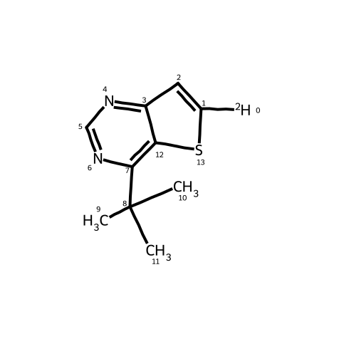 [2H]c1cc2ncnc(C(C)(C)C)c2s1